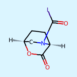 O=C1O[C@H]2CC[C@@H]1N(C(=O)I)C2